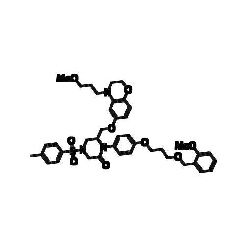 COCCCN1CCOc2ccc(OCC3CN(S(=O)(=O)c4ccc(C)cc4)CC(=O)N3c3ccc(OCCCOCc4ccccc4OC)cc3)cc21